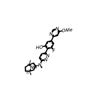 COc1cc(-c2cc(O)c(-c3ccc(N(C)[C@H]4C[C@]5(C)CC[C@](C)(C4)N5)nn3)c(F)c2)ncn1